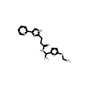 CC(NC(=O)CCc1nc(-c2ccccn2)c[nH]1)c1ccc(OCC(F)(F)F)s1